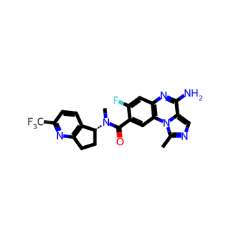 Cc1ncc2c(N)nc3cc(F)c(C(=O)N(C)[C@@H]4CCc5nc(C(F)(F)F)ccc54)cc3n12